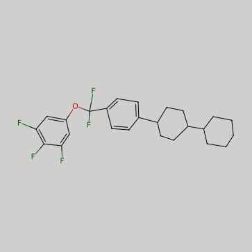 Fc1cc(OC(F)(F)c2ccc(C3CCC(C4CCCCC4)CC3)cc2)cc(F)c1F